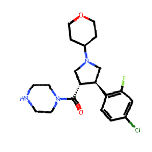 O=C([C@@H]1CN(C2CCOCC2)C[C@H]1c1ccc(Cl)cc1F)N1CCNCC1